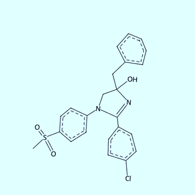 CS(=O)(=O)c1ccc(N2CC(O)(Cc3ccccc3)N=C2c2ccc(Cl)cc2)cc1